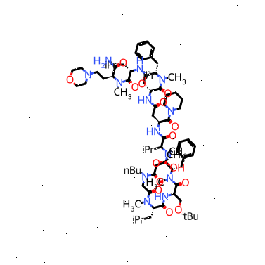 CCCCN(CC(=O)N(C)[C@@H](CC(C)C)C(=O)NC(COC(C)(C)C)C(=O)N(C)[C@@H](Cc1ccccc1)C(=O)N(C)C(C(=O)N[C@@H](CC(=O)N[C@H](CC(C)C)C(=O)N(C)[C@@H](Cc1ccccc1)C(=O)N[C@@H](CC(C)C)C(=O)N(C)[C@@H](CCN1CCOCC1)C(N)=O)C(=O)N1CCCCC1)C(C)C)C(=O)C[C@@H](C)O